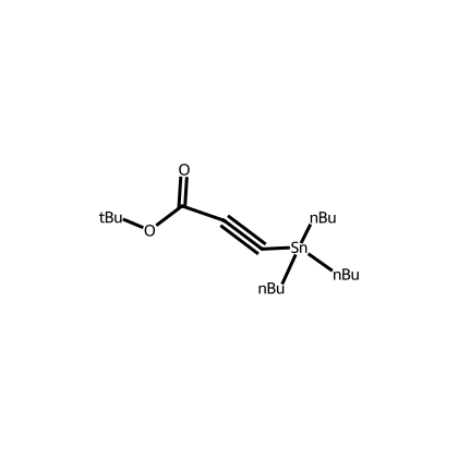 CCC[CH2][Sn]([C]#CC(=O)OC(C)(C)C)([CH2]CCC)[CH2]CCC